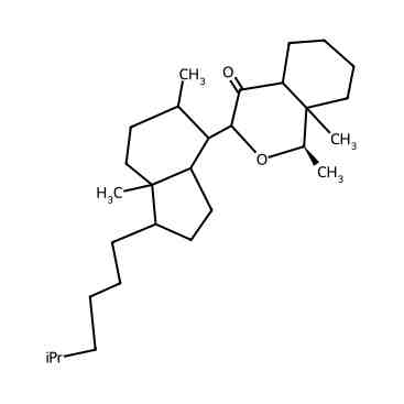 CC(C)CCCCC1CCC2C(C3O[C@H](C)C4(C)CCCCC4C3=O)C(C)CCC12C